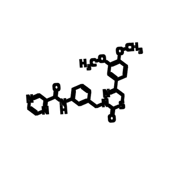 COc1ccc(C2=NN(Cc3cccc(NC(=O)c4cnccn4)c3)C(=O)SC2)cc1OC